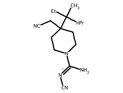 CCCC(C)(CC)C1(CC#N)CCN(/C(N)=N/C#N)CC1